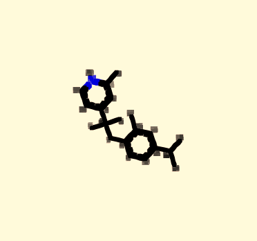 Cc1cc(C(C)(C)Cc2ccc(C(C)C)cc2C)ccn1